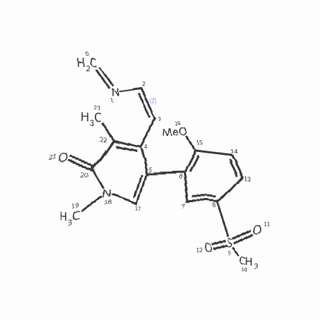 C=N/C=C\c1c(-c2cc(S(C)(=O)=O)ccc2OC)cn(C)c(=O)c1C